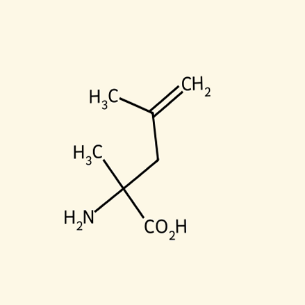 C=C(C)CC(C)(N)C(=O)O